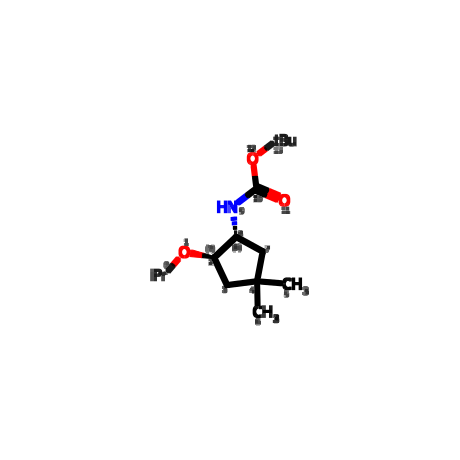 CC(C)O[C@@H]1CC(C)(C)C[C@H]1NC(=O)OC(C)(C)C